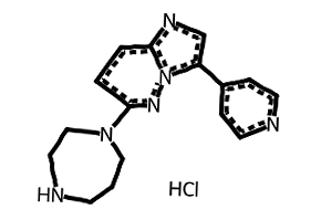 Cl.c1cc(-c2cnc3ccc(N4CCCNCC4)nn23)ccn1